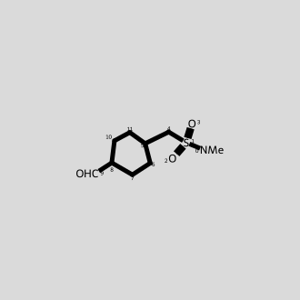 CNS(=O)(=O)CC1CCC(C=O)CC1